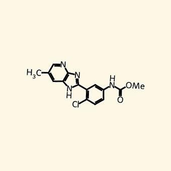 COC(=O)Nc1ccc(Cl)c(-c2nc3ncc(C)cc3[nH]2)c1